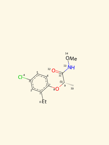 CCc1cc(Cl)ccc1O[C@@H](C)C(=O)NOC